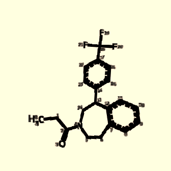 CCC(=O)N1CCc2ccccc2C(c2ccc(C(F)(F)F)cc2)C1